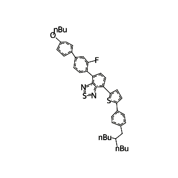 CCCCOc1ccc(-c2ccc(-c3ccc(-c4ccc(-c5ccc(CC(CCCC)CCCC)cc5)s4)c4nsnc34)c(F)c2)cc1